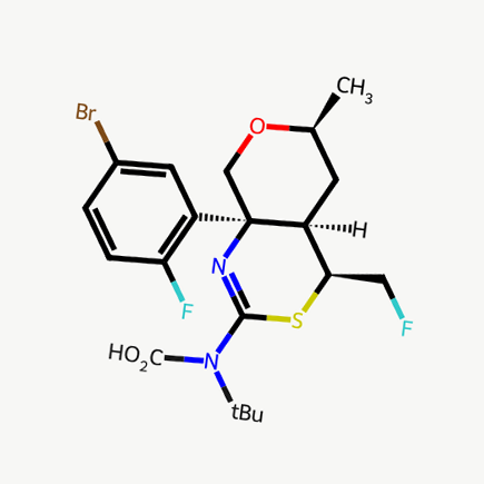 C[C@H]1C[C@H]2[C@@H](CF)SC(N(C(=O)O)C(C)(C)C)=N[C@@]2(c2cc(Br)ccc2F)CO1